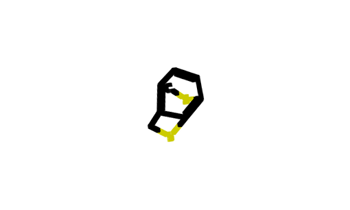 c1cc2c3c(c1CS2)CS3